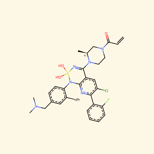 C=CC(=O)N1CCN(C2=NS(O)(O)N(c3ccc(CN(C)C)cc3CCC)c3nc(-c4ccccc4F)c(Cl)cc32)[C@@H](C)C1